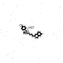 Cl.O=S(=O)(NCCCCN1CCc2ccccc2C1)c1ccc(Cl)cc1